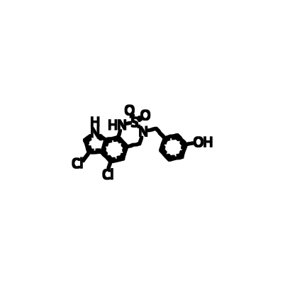 O=S1(=O)Nc2c(cc(Cl)c3c(Cl)c[nH]c23)CN1Cc1cccc(O)c1